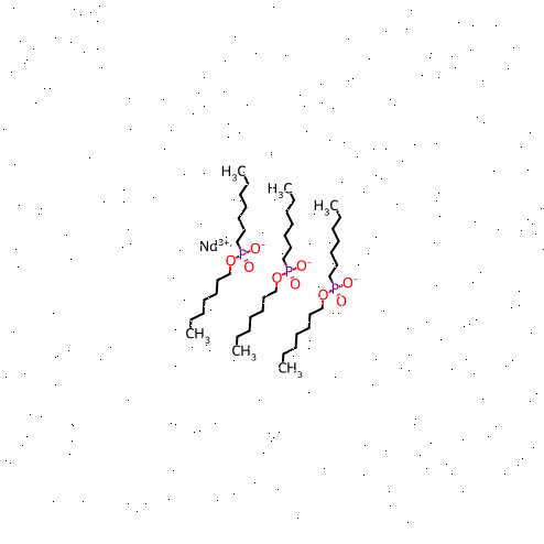 CCCCCCCOP(=O)([O-])CCCCCCC.CCCCCCCOP(=O)([O-])CCCCCCC.CCCCCCCOP(=O)([O-])CCCCCCC.[Nd+3]